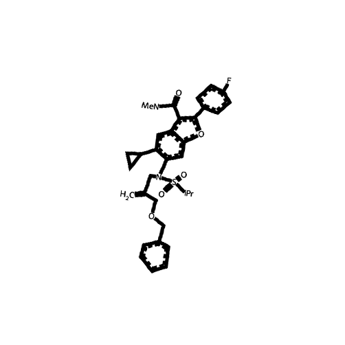 C=C(COCc1ccccc1)CN(c1cc2oc(-c3ccc(F)cc3)c(C(=O)NC)c2cc1C1CC1)S(=O)(=O)C(C)C